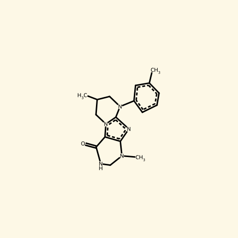 Cc1cccc(N2CC(C)Cn3c2nc2c3C(=O)NCN2C)c1